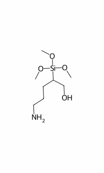 CO[Si](OC)(OC)C(CO)CCCN